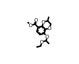 CCOC(C)Oc1ccc(C(=O)OC)c2c1OCC(C)O2